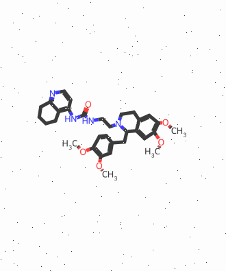 COc1ccc(CC2c3cc(OC)c(OC)cc3CCN2CCNC(=O)Nc2ccnc3c2CCCC3)cc1OC